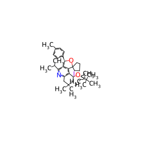 Cc1ccc([C@H]2OC3(CCCC3I)c3c4c(nc(C(C)C)c32)CC(C)(C)CC4O[Si](C)(C)C(C)(C)C)cc1